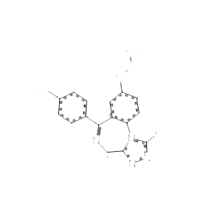 Cc1nnc2n1-c1ccc(OSC(F)(F)F)cc1C(c1ccc(Cl)cc1)=NC2